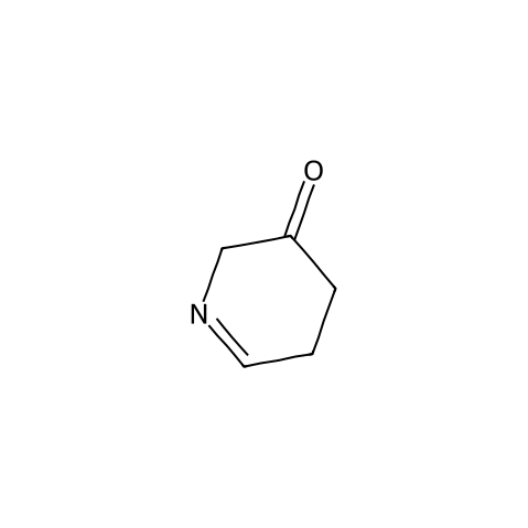 O=C1CCC=NC1